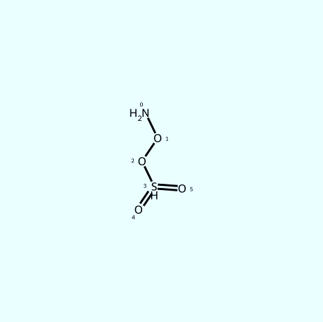 NOO[SH](=O)=O